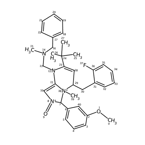 COc1cccc(C2[N+](=O)C=C3N(CN(C)Cc4ccccc4)C(C(C)(C)C)=CC(Cc4ccccc4F)[N+]32C)c1